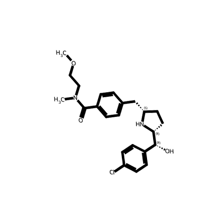 COCCN(C)C(=O)c1ccc(C[C@@H]2CC[C@H]([C@H](O)c3ccc(Cl)cc3)N2)cc1